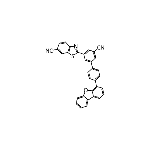 N#Cc1cc(-c2ccc(-c3cccc4c3oc3ccccc34)cc2)cc(-c2nc3ccc(C#N)cc3s2)c1